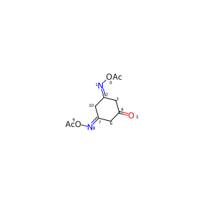 CC(=O)ON=C1CC(=O)CC(=NOC(C)=O)C1